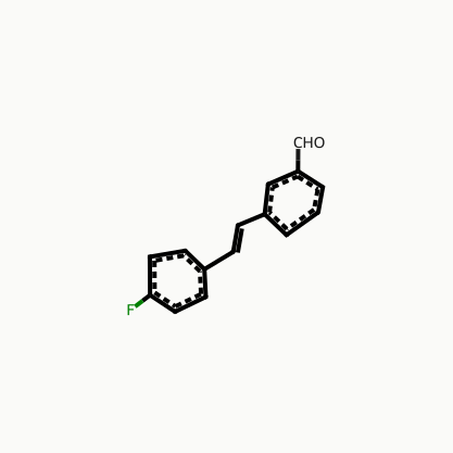 O=Cc1cccc(/C=C/c2ccc(F)cc2)c1